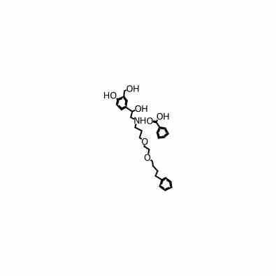 O=C(O)c1ccccc1.OCc1cc(C(O)CNCCCOCCOCCCCc2ccccc2)ccc1O